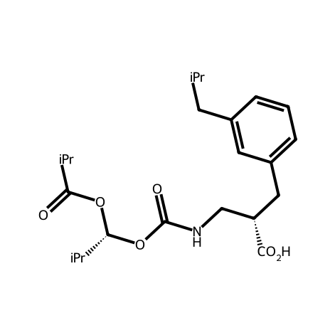 CC(C)Cc1cccc(C[C@@H](CNC(=O)O[C@@H](OC(=O)C(C)C)C(C)C)C(=O)O)c1